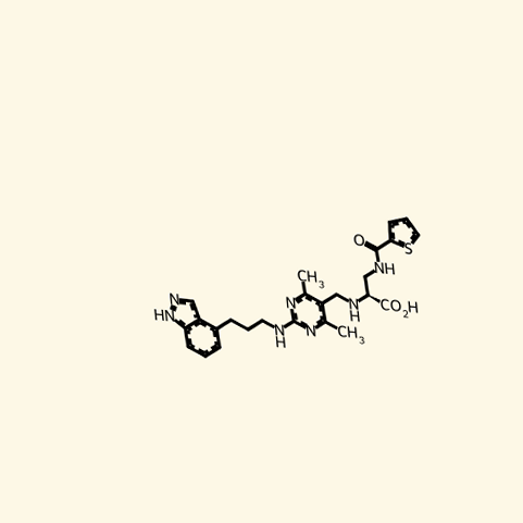 Cc1nc(NCCCc2cccc3[nH]ncc23)nc(C)c1CN[C@@H](CNC(=O)c1cccs1)C(=O)O